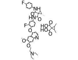 CC1C(C)C1(C(=O)O)C(=O)O.CCN(CC)CCOc1cc2nccc(Oc3ccc(NC(=O)C4(C(=O)Nc5ccc(F)cc5)[C@H](C)[C@@H]4C)cc3F)c2cc1OC